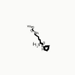 CC(C)(C)OC(=O)NCCCC[C@H](N)C(=O)Nc1[c]cccc1